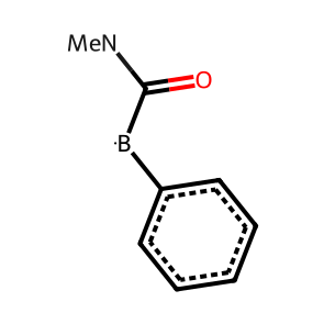 CNC(=O)[B]c1ccccc1